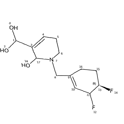 OC(O)C1=CCCN(CC2=CC(F)[C@H](F)CC2)C1O